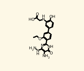 CCOc1cc(-c2ccc(O)c(NCC(=O)O)c2)ccc1-c1nc(NN)c(N)c(=O)[nH]1